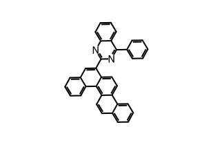 c1ccc(-c2nc(-c3cc4ccccc4c4c3ccc3c5ccccc5ccc34)nc3ccccc23)cc1